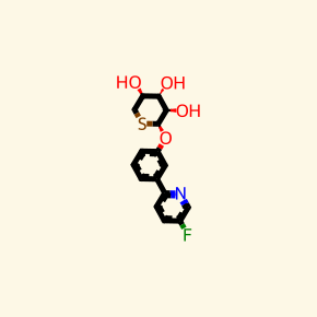 O[C@@H]1[C@@H](O)[C@@H](Oc2cccc(-c3ccc(F)cn3)c2)SC[C@H]1O